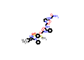 CCCCC1(CCCC)CN(c2ccccc2)c2cc(SC)c(OCC(=O)N[C@@H](C(=O)NCC(=O)N3CCC[C@H]3C(=O)NCC(N)=O)c3ccccc3)cc2S(=O)(=O)N1